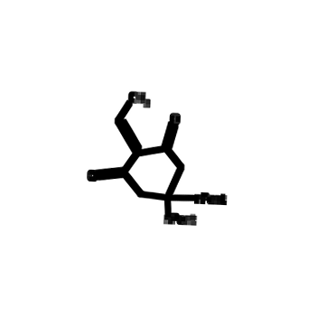 CC=C1C(=O)CC(CCCCC)(CCCCC)CC1=O